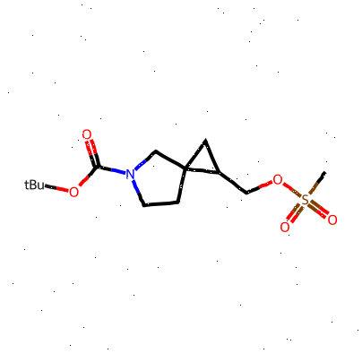 CC(C)(C)OC(=O)N1CCC2(CC2COS(C)(=O)=O)C1